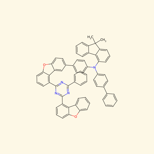 CC1(C)c2ccccc2-c2c(N(c3ccc(-c4ccccc4)cc3)c3ccc(-c4ccc5oc6cccc(-c7nc(-c8ccccc8)nc(-c8cccc9oc%10ccccc%10c89)n7)c6c5c4)cc3)cccc21